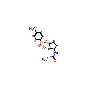 Cc1ccc(S(=O)(=O)OC2CCC(NC(=O)OC(C)(C)C)C2)cc1